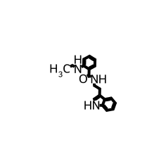 CCNc1ccccc1C(=O)NCCc1c[nH]c2ccccc12